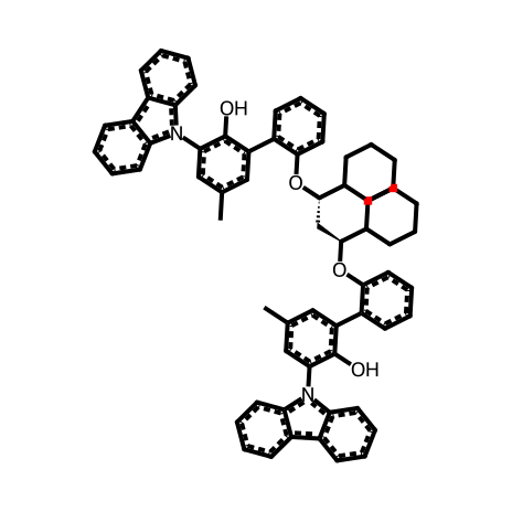 Cc1cc(-c2ccccc2O[C@@H](C[C@H](Oc2ccccc2-c2cc(C)cc(-n3c4ccccc4c4ccccc43)c2O)C2CCCCC2)C2CCCCC2)c(O)c(-n2c3ccccc3c3ccccc32)c1